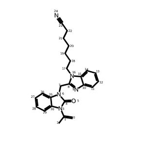 C=C(C)n1c(=O)n(Cc2nc3ccccc3n2CCCCCCC#N)c2ccccc21